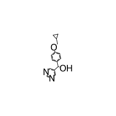 OC(c1ccc(OCC2CC2)cc1)c1cncnc1